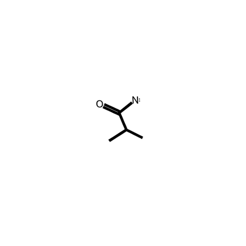 CC(C)C([N])=O